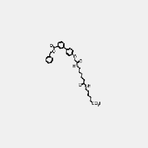 O=C(O)CCCCCNC(=O)CCCCCNC(=O)COc1ccc(-c2cccc(C(=O)OCc3ccccc3)c2)cc1